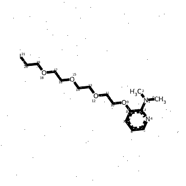 CN(C)c1ncccc1OCCOCCOCCOCCI